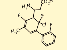 CC1=C(F)C(C(N)CC(=O)O)C(F)(Cl)C(c2ccccc2F)=C1